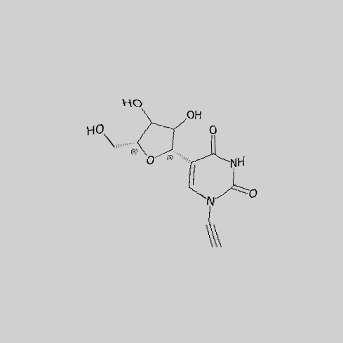 C#Cn1cc([C@@H]2O[C@H](CO)C(O)C2O)c(=O)[nH]c1=O